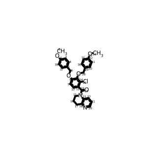 COc1ccc(COc2ccc(C(=O)N3CCCc4ncccc43)c(Cl)c2OCc2ccc(OC)cc2)cc1